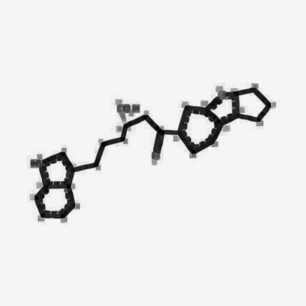 O=C(C[C@H](CCCc1c[nH]c2ccccc12)C(=O)O)c1ccc2c3c(oc2c1)CCC3